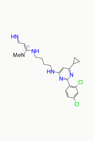 CN/C(=C\C=N)NCCCCNc1cc(C2CC2)nc(-c2ccc(Cl)cc2Cl)n1